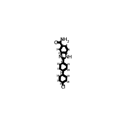 NC(=O)c1ccc2[nH]c(-c3ccc(-c4ccc(Cl)cc4)cc3)nc2c1